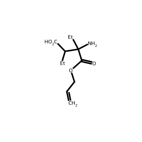 C=CCOC(=O)C(N)(CC)C(CC)C(=O)O